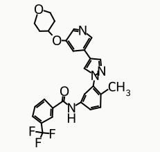 Cc1ccc(NC(=O)c2cccc(C(F)(F)F)c2)cc1-n1cc(-c2cncc(OC3CCOCC3)c2)cn1